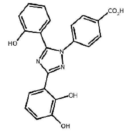 O=C(O)c1ccc(-n2nc(-c3cccc(O)c3O)nc2-c2ccccc2O)cc1